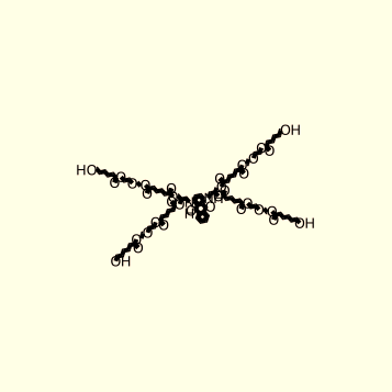 O=C(CCCCCO)OCCOCCOC(=O)CCCCC(=O)OCC(CNc1ccc(NCC(COC(=O)CCCCC(=O)OCCOCCOC(=O)CCCCCO)OC(=O)CCCCC(=O)OCCOCCOC(=O)CCCCCO)c2c1C(=O)c1ccccc1C2=O)OC(=O)CCCCC(=O)OCCOCCOC(=O)CCCCCO